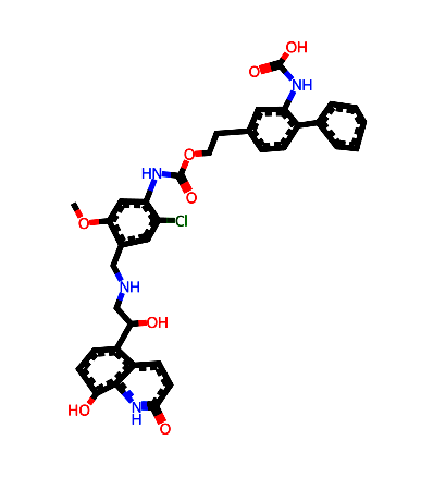 COc1cc(NC(=O)OCCc2ccc(-c3ccccc3)c(NC(=O)O)c2)c(Cl)cc1CNCC(O)c1ccc(O)c2[nH]c(=O)ccc12